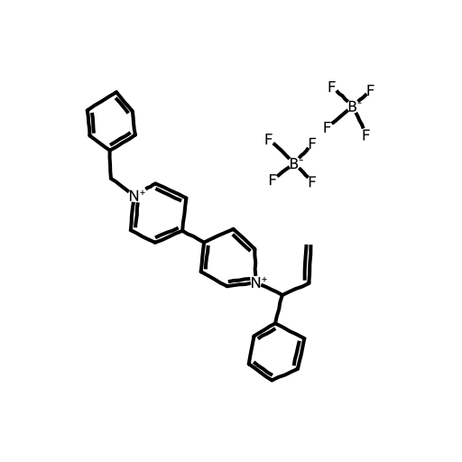 C=CC(c1ccccc1)[n+]1ccc(-c2cc[n+](Cc3ccccc3)cc2)cc1.F[B-](F)(F)F.F[B-](F)(F)F